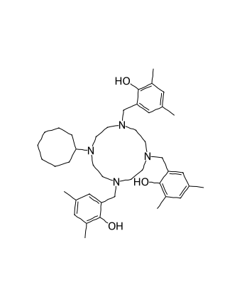 Cc1cc(C)c(O)c(CN2CCN(Cc3cc(C)cc(C)c3O)CCN(C3CCCCCCC3)CCN(Cc3cc(C)cc(C)c3O)CC2)c1